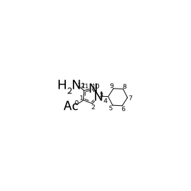 CC(=O)c1cn(C2CCCCC2)nc1N